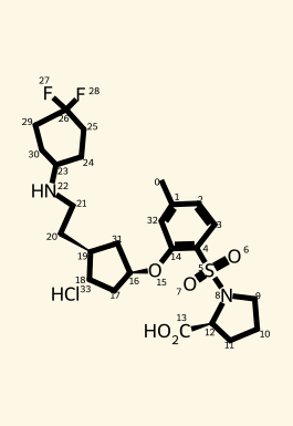 Cc1ccc(S(=O)(=O)N2CCC[C@H]2C(=O)O)c(O[C@H]2CC[C@@H](CCNC3CCC(F)(F)CC3)C2)c1.Cl